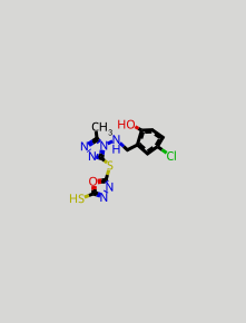 Cc1nnc(Sc2nnc(S)o2)n1NCc1cc(Cl)ccc1O